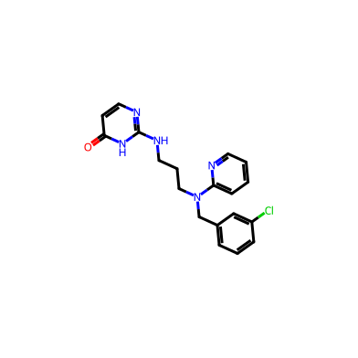 O=c1ccnc(NCCCN(Cc2cccc(Cl)c2)c2ccccn2)[nH]1